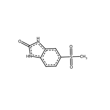 CS(=O)(=O)c1ccc2[nH]c(=O)[nH]c2c1